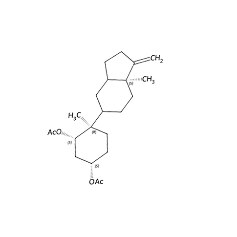 C=C1CCC2CC([C@@]3(C)CC[C@H](OC(C)=O)C[C@@H]3OC(C)=O)CC[C@]12C